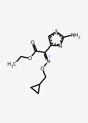 CCOC(=O)/C(=N\OCC1CC1)c1csc(N)n1